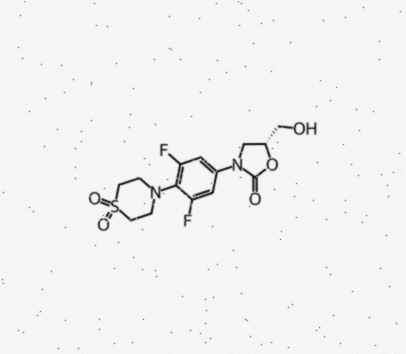 O=C1O[C@@H](CO)CN1c1cc(F)c(N2CCS(=O)(=O)CC2)c(F)c1